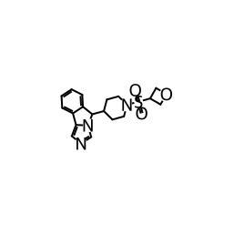 O=S(=O)(C1COC1)N1CCC(C2c3ccccc3-c3cncn32)CC1